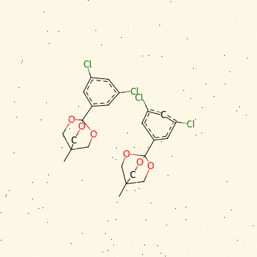 CC12COC(c3cc(Cl)cc(Cl)c3)(OC1)OC2.CC12COC(c3cc(Cl)cc(Cl)c3)(OC1)OC2